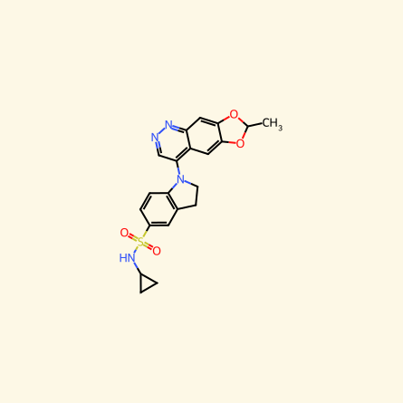 CC1Oc2cc3nncc(N4CCc5cc(S(=O)(=O)NC6CC6)ccc54)c3cc2O1